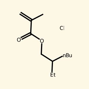 C=C(C)C(=O)OCC(CC)CCCC.[C]